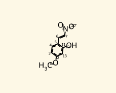 COc1ccc(C=C[N+](=O)[O-])c(O)c1